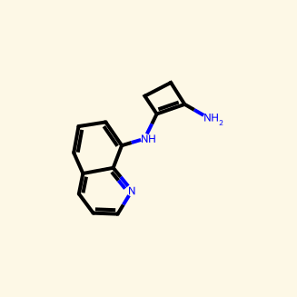 NC1=C(Nc2cccc3cccnc23)CC1